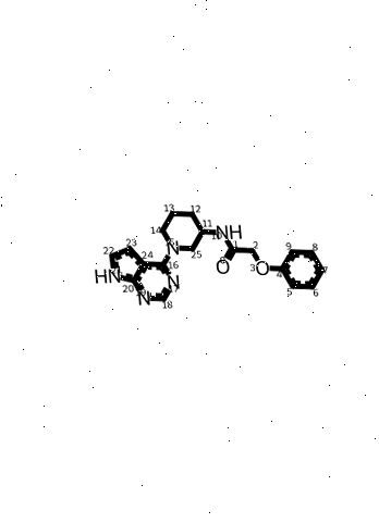 O=C(COc1ccccc1)NC1CCCN(c2ncnc3[nH]ccc23)C1